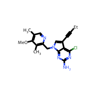 [CH2]CC#Cc1cn(Cc2ncc(C)c(OC)c2C)c2nc(N)nc(Cl)c12